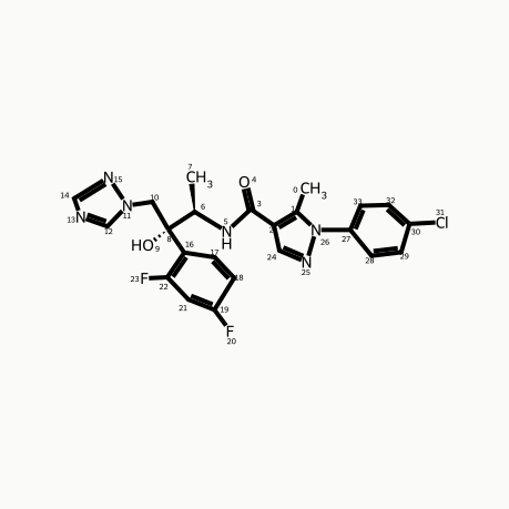 Cc1c(C(=O)N[C@H](C)[C@](O)(Cn2cncn2)c2ccc(F)cc2F)cnn1-c1ccc(Cl)cc1